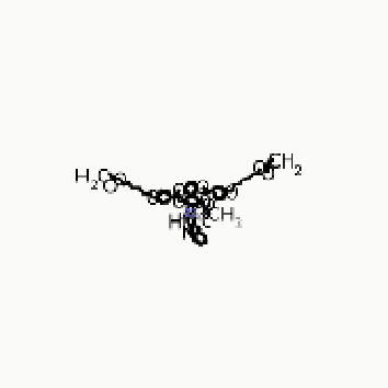 C=CC(=O)OCCCCCCOc1ccc(C(=O)Oc2c(/C=N/Nc3nc4ccccc4s3)c(OC(=O)C(=C)C)c(OC(=O)c3ccc(OCCCCCCOC(=O)C=C)cc3)c3ccccc23)cc1